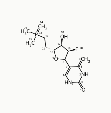 C=C1NC(=O)NC=C1C1O[C@H](CCP(=C)(C)C)[C@@H](O)[C@H]1F